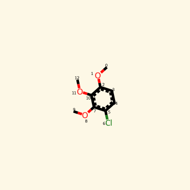 COc1c[c]c(Cl)c(OC)c1OC